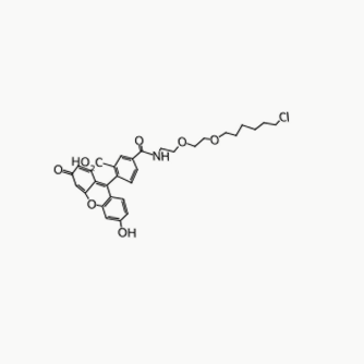 O=C(NCCOCCOCCCCCCCl)c1ccc(-c2c3ccc(=O)cc-3oc3cc(O)ccc23)c(C(=O)O)c1